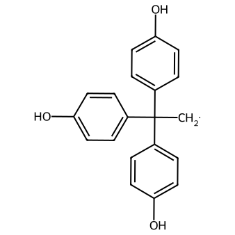 [CH2]C(c1ccc(O)cc1)(c1ccc(O)cc1)c1ccc(O)cc1